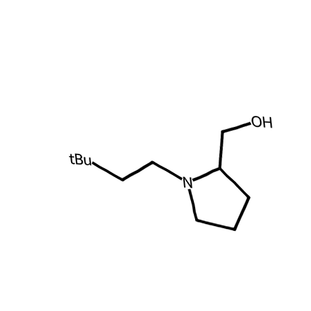 CC(C)(C)CCN1CCCC1CO